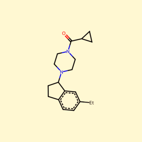 CCc1ccc2c(c1)C(N1CCN(C(=O)C3CC3)CC1)CC2